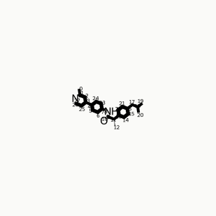 Cc1cc(-c2ccc(NC(=O)[C@@H](C)c3ccc(CC(C)C)cc3)cc2)ccn1